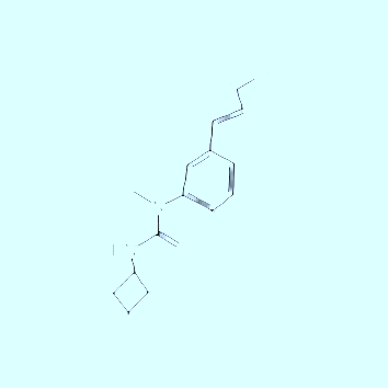 CN(C(=O)NC1CCC1)c1cccc(C=CC[O])c1